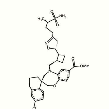 COC(=O)c1ccc2c(c1)N(C[C@@H]1CC[C@H]1[C@H]1CC(CC[C@@H](C)S(N)(=O)=O)=NO1)C[C@@]1(CCCc3cc(Cl)ccc31)CO2